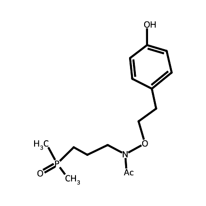 CC(=O)N(CCCP(C)(C)=O)OCCc1ccc(O)cc1